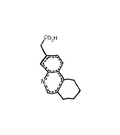 O=C(O)Cc1ccc2c3c(cnc2c1)CCCC3